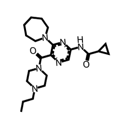 CCCN1CCN(C(=O)c2ncc(NC(=O)C3CC3)nc2N2CCCCCC2)CC1